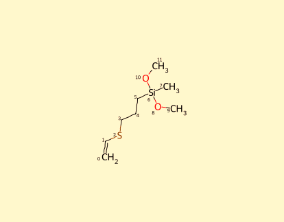 C=CSCCC[Si](C)(OC)OC